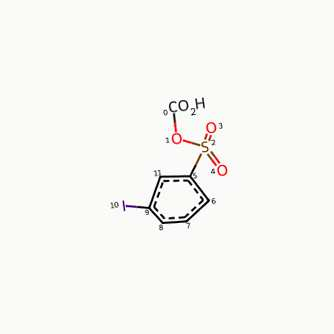 O=C(O)OS(=O)(=O)c1cccc(I)c1